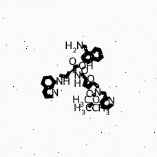 CC(C)(C)OC(=O)N(Cc1ccccn1)Cc1ccc(C(=O)N[C@@H](CCCNC2CCCc3cccnc32)C(=O)O)o1.NCc1cccc2ccccc12